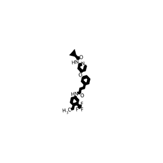 CCc1ccc(NC(=O)CCc2cccc(Oc3ccnc(NC(=O)C4CC4)c3)c2)cc1C(F)(F)F